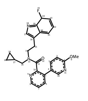 COc1ccc(-c2cccnc2C(=O)N(CCC2=CN=C3C2=CC=CC3F)CC2CC2)cn1